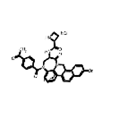 COc1ccc2cc(Br)ccc2c1CN1C(=O)C(NC(=O)C2CCN2)CN(C(=O)c2ccc(C(C)=O)cc2)c2ccccc21.Cl